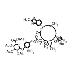 C=CC[C@H]1C(=O)C(C)(C)[C@@H](OC(=O)OCc2ccc(O[C@@H]3O[C@H](C(=O)OC)[C@@H](OC(C)=O)[C@H](OC(C)=O)[C@H]3OC(C)=O)c([N+](=O)[O-])c2)CC(=O)O[C@H](c2ccc3sc(C)nc3c2)C/C=C(/C)CCC[C@H](C)[C@@H]1O[Si](C)(C)C(C)(C)C